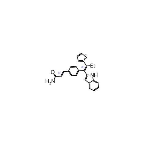 CC/C(=C(/c1ccc(/C=C/C(N)=O)cc1)c1cc2ccccc2[nH]1)c1cccs1